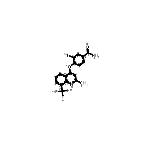 Cc1cc(Oc2ccc(C(N)=O)cc2F)c2cccc(C(F)(F)F)c2n1